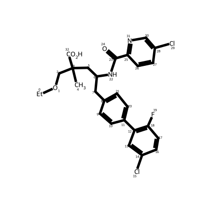 CCOCC(C)(CC(Cc1ccc(-c2cc(Cl)ccc2F)cc1)NC(=O)c1ccc(Cl)cn1)C(=O)O